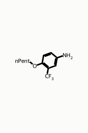 CCCCCOc1ccc(N)cc1C(F)(F)F